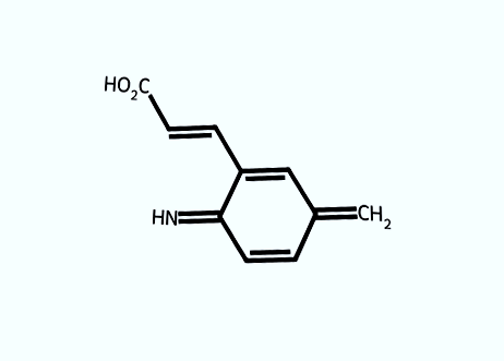 C=C1C=CC(=N)C(/C=C/C(=O)O)=C1